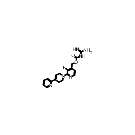 N=C(N)NC(=O)OCc1ccnc(N2CC=C(c3ccccn3)CC2)c1F